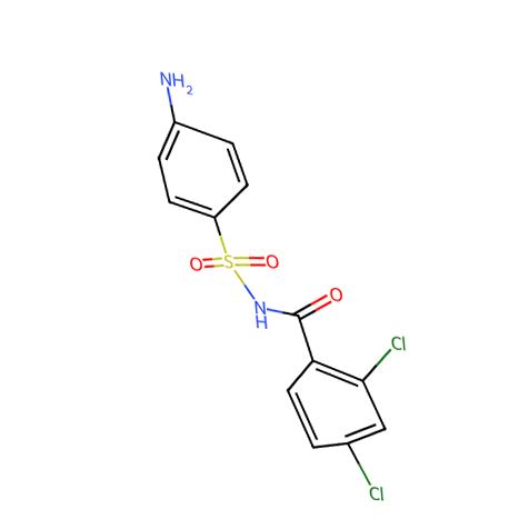 Nc1ccc(S(=O)(=O)NC(=O)c2ccc(Cl)cc2Cl)cc1